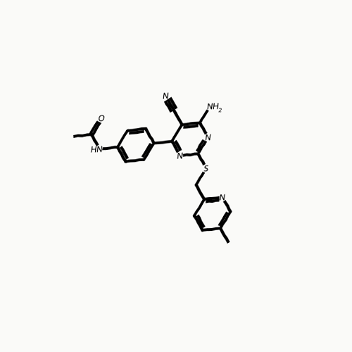 CC(=O)Nc1ccc(-c2nc(SCc3ccc(C)cn3)nc(N)c2C#N)cc1